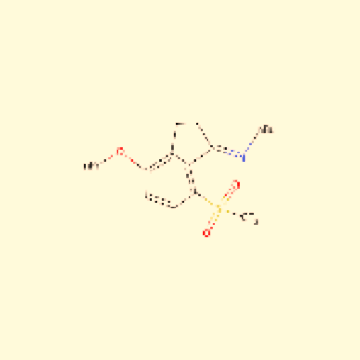 CCCCN=C1CCc2c(OCCC)ccc(S(=O)(=O)C(F)(F)F)c21